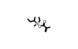 C=C(C)C(=O)O[N+](C)(CC)C(C)CC